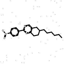 CCCCCCC1CCc2nc(-c3ccc([N+](=O)[O-])cc3)ncc2C1